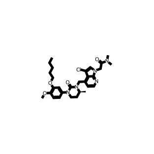 CCCCCOc1cc(N2CC[C@H](C)N(Cc3ccnc4c3c(Cl)cn4CC(=O)N(C)C)C2=O)ccc1OC